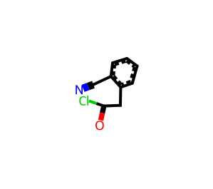 N#Cc1ccccc1CC(=O)Cl